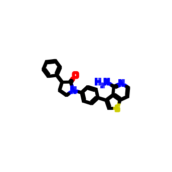 Nc1nccc2scc(-c3ccc(N4CCC(c5ccccc5)C4=O)cc3)c12